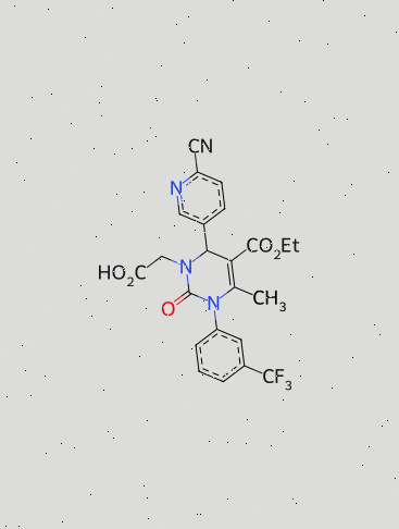 CCOC(=O)C1=C(C)N(c2cccc(C(F)(F)F)c2)C(=O)N(CC(=O)O)C1c1ccc(C#N)nc1